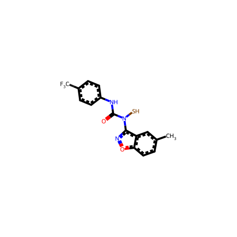 Cc1ccc2onc(N(S)C(=O)Nc3ccc(C(F)(F)F)cc3)c2c1